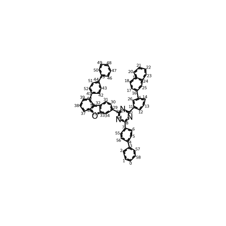 c1ccc(-c2ccc(-c3nc(-c4cccc(-c5ccc6ccccc6c5)c4)nc(-c4ccc5c(c4)oc4cccc(-c6ccc(-c7ccccc7)cc6)c45)n3)cc2)cc1